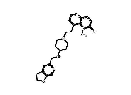 Cn1c(=O)ccc2nccc(CCN3CCC(NCc4cc5c(cn4)OCS5)CC3)c21